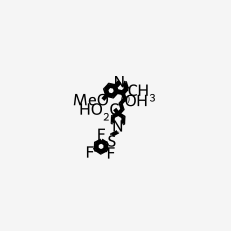 COc1ccc2ncc(C)c([C@@H](O)CCC3(C(=O)O)CCN(CCSc4c(F)cc(F)cc4F)CC3)c2c1